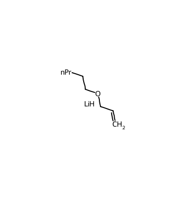 C=CCOCCCCC.[LiH]